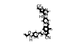 C=CC(=O)NC1CCN(CCn2c(C#N)cc3c(C)c(CN4CCC(Nc5ncnc6sc(CC(F)(F)F)cc56)CC4)ccc32)CC1